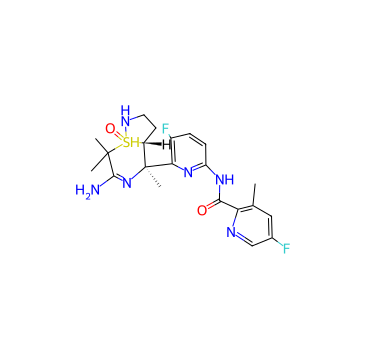 Cc1cc(F)cnc1C(=O)Nc1ccc(F)c([C@@]2(C)N=C(N)C(C)(C)[SH]3(=O)NCC[C@H]23)n1